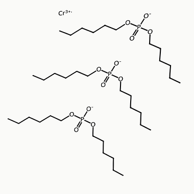 CCCCCCOP(=O)([O-])OCCCCCC.CCCCCCOP(=O)([O-])OCCCCCC.CCCCCCOP(=O)([O-])OCCCCCC.[Cr+3]